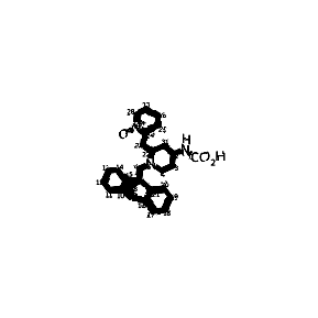 O=C(O)NC1CCN(CC23CC(c4ccccc42)c2ccccc23)C(Cc2cccc[n+]2[O-])C1